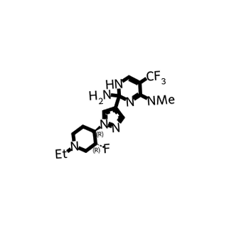 CCN1CC[C@@H](n2cc(C3(N)N=C(NC)C(C(F)(F)F)=CN3)cn2)[C@H](F)C1